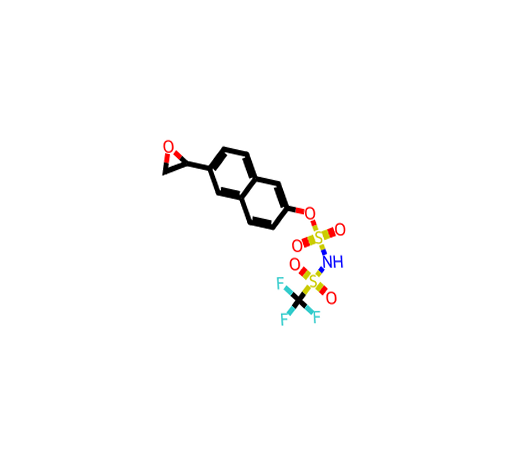 O=S(=O)(NS(=O)(=O)C(F)(F)F)Oc1ccc2cc(C3CO3)ccc2c1